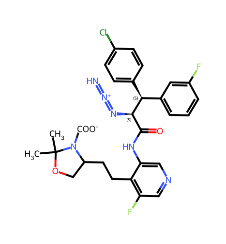 CC1(C)OCC(CCc2c(F)cncc2NC(=O)[C@@H](N=[N+]=N)[C@@H](c2ccc(Cl)cc2)c2cccc(F)c2)N1C(=O)[O-]